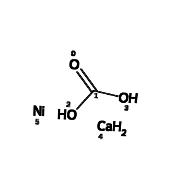 O=C(O)O.[CaH2].[Ni]